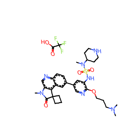 CN(C)CCCOc1ncc(-c2ccc3ncc4c(c3c2)C2(CCC2)C(=O)N4C)cc1NS(=O)(=O)N(C)C1CCNCC1.O=C(O)C(F)(F)F